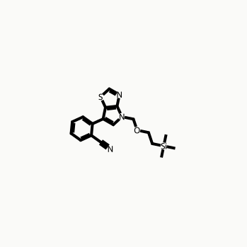 C[Si](C)(C)CCOCn1cc(-c2ccccc2C#N)c2scnc21